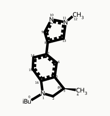 CCC(C)N1C[C@H](C)c2cc(-c3cnn(C)c3)ccc21